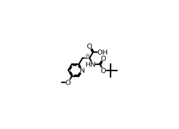 COc1ccc(C[C@H](NC(=O)OC(C)(C)C)C(=O)O)nc1